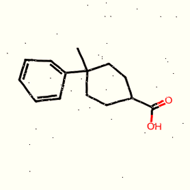 CC1(c2ccccc2)CCC(C(=O)O)CC1